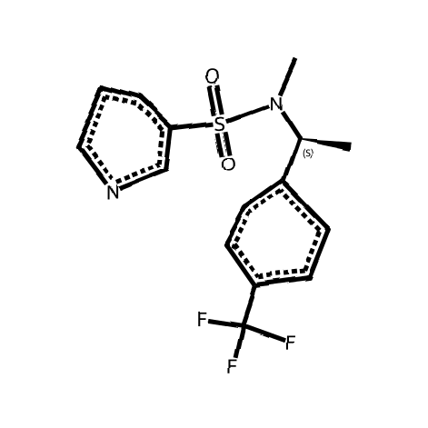 C[C@@H](c1ccc(C(F)(F)F)cc1)N(C)S(=O)(=O)c1cccnc1